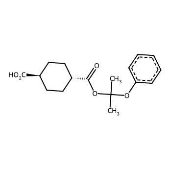 CC(C)(Oc1ccccc1)OC(=O)[C@H]1CC[C@H](C(=O)O)CC1